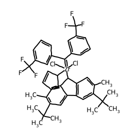 Cc1cc2c(cc1C(C)(C)C)-c1cc(C(C)(C)C)c(C)cc1[CH]2[Zr]([Cl])([Cl])(=[C](c1cccc(C(F)(F)F)c1)c1cccc(C(F)(F)F)c1)[CH]1C=CC=C1